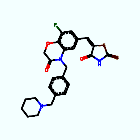 O=C1NC(=S)SC1=Cc1cc(F)c2c(c1)N(Cc1ccc(CN3CCCCC3)cc1)C(=O)CO2